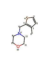 Cc1ccsc1CN1CCOCC1